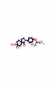 CCC1(O)CCC2(CCN(c3ccc(O[C@H](C)C(F)(F)F)cc3)C2=O)CC1